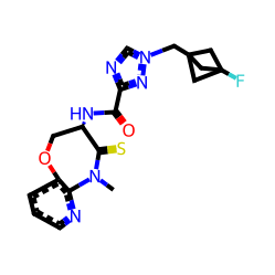 CN1C(=S)[C@@H](NC(=O)c2ncn(CC34CC(F)(C3)C4)n2)COc2cccnc21